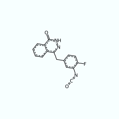 O=C=Nc1cc(Cc2n[nH]c(=O)c3ccccc23)ccc1F